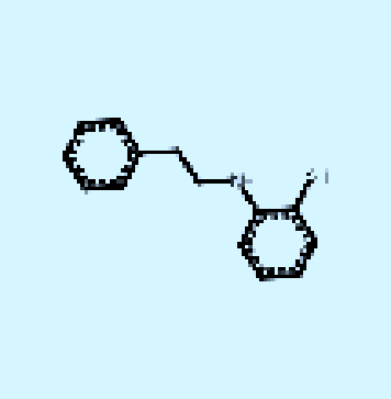 Sc1ccccc1NCCc1ccccc1